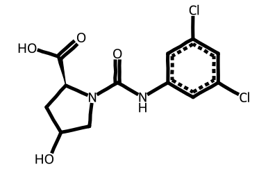 O=C(O)[C@@H]1CC(O)CN1C(=O)Nc1cc(Cl)cc(Cl)c1